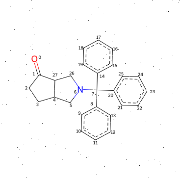 O=C1CCC2CN(C(c3ccccc3)(c3ccccc3)c3ccccc3)CC12